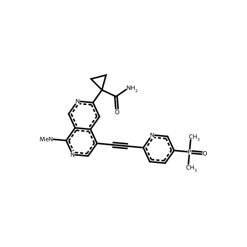 CNc1ncc(C#Cc2ccc(P(C)(C)=O)cn2)c2cc(C3(C(N)=O)CC3)ncc12